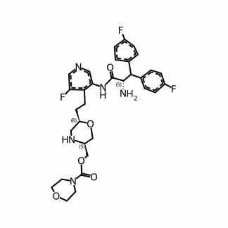 N[C@H](C(=O)Nc1cncc(F)c1CC[C@@H]1CN[C@H](COC(=O)N2CCOCC2)CO1)C(c1ccc(F)cc1)c1ccc(F)cc1